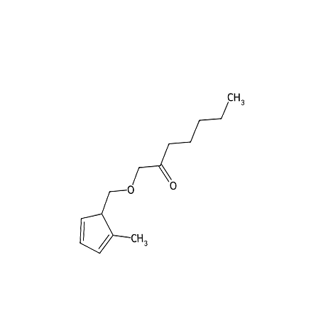 CCCCCC(=O)COCC1C=CC=C1C